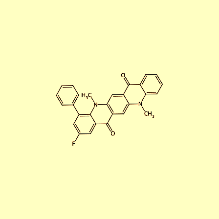 Cn1c2ccccc2c(=O)c2cc3c(cc21)c(=O)c1cc(F)cc(-c2ccccc2)c1n3C